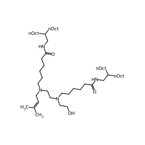 CCCCCCCCC(CCCCCCCC)CNC(=O)CCCCCN(CC=C(C)C)CCN(CCO)CCCCCC(=O)NCC(CCCCCCCC)CCCCCCCC